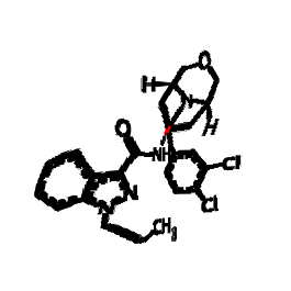 C/C=C\n1nc(C(=O)N[C@H]2C[C@H]3COC[C@@H](C2)N3Cc2ccc(Cl)c(Cl)c2)c2ccccc21